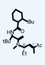 C=C(C(NC(=O)C1CCCCC1C(C)CC)C(C)(C)C)N(C)[C@H](/C=C(\C)C(C)=O)CC